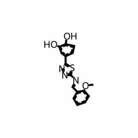 COc1ccccc1C=Nc1nnc(-c2ccc(O)c(O)c2)s1